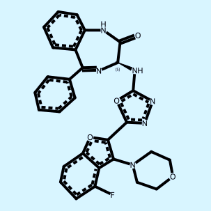 O=C1Nc2ccccc2C(c2ccccc2)=N[C@@H]1Nc1nnc(-c2oc3cccc(F)c3c2N2CCOCC2)o1